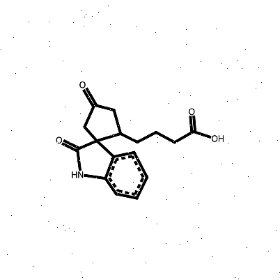 O=C(O)CCCC1CC(=O)CC12C(=O)Nc1ccccc12